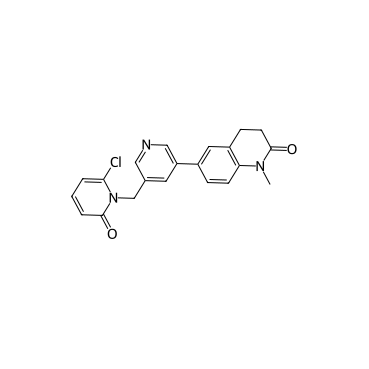 CN1C(=O)CCc2cc(-c3cncc(Cn4c(Cl)cccc4=O)c3)ccc21